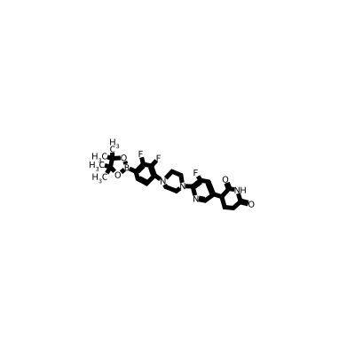 CC1(C)OB(c2ccc(N3CCN(c4ncc(C5CCC(=O)NC5=O)cc4F)CC3)c(F)c2F)OC1(C)C